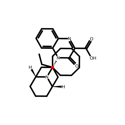 CCC1(N2[C@@H]3CCC[C@H]2C[C@@H](n2c(=O)c(C(=O)O)nc4ccccc42)C3)CCCCCCC1